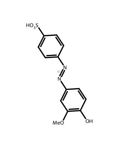 COc1cc(/N=N/c2ccc(S(=O)(=O)O)cc2)ccc1O